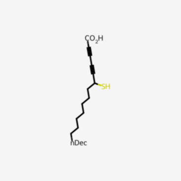 CCCCCCCCCCCCCCCCCC(S)C#CC#CC(=O)O